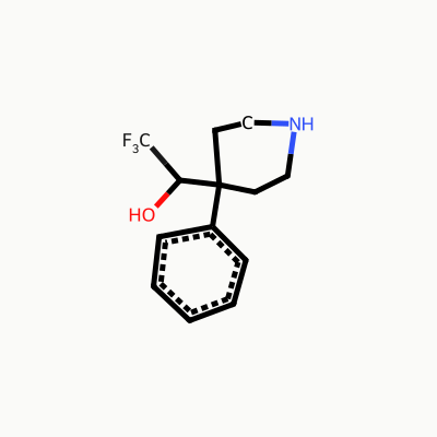 OC(C(F)(F)F)C1(c2ccccc2)CCNCC1